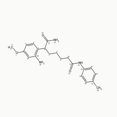 COc1ccc(C(CCCCC(=O)Nc2ccc(C)cc2)C(N)=O)c(N)c1